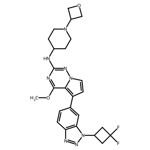 COc1nc(NC2CCN(C3COC3)CC2)nn2ccc(-c3ccc4nnn(C5CC(F)(F)C5)c4c3)c12